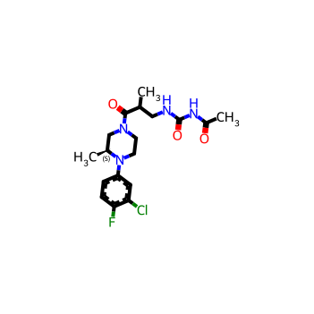 CC(=O)NC(=O)NCC(C)C(=O)N1CCN(c2ccc(F)c(Cl)c2)[C@@H](C)C1